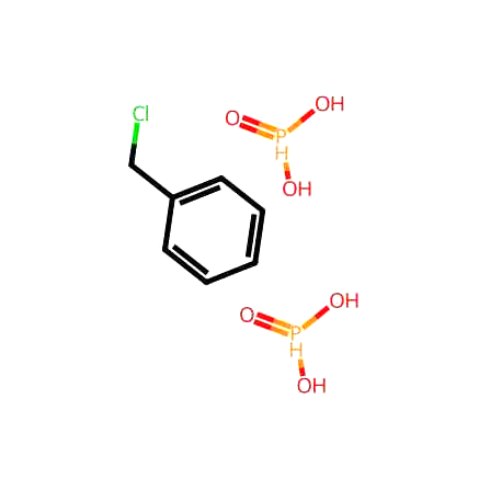 ClCc1ccccc1.O=[PH](O)O.O=[PH](O)O